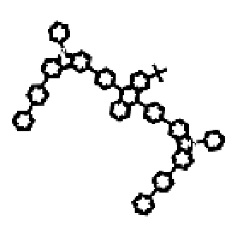 CC(C)(C)c1ccc2c(-c3ccc(-c4ccc5c(c4)c4cc(-c6ccc(-c7ccccc7)cc6)ccc4n5-c4ccccc4)cc3)c3ccccc3c(-c3ccc(-c4ccc5c(c4)c4cc(-c6ccc(-c7ccccc7)cc6)ccc4n5-c4ccccc4)cc3)c2c1